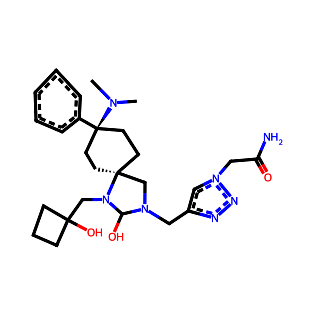 CN(C)[C@]1(c2ccccc2)CC[C@]2(CC1)CN(Cc1cn(CC(N)=O)nn1)C(O)N2CC1(O)CCC1